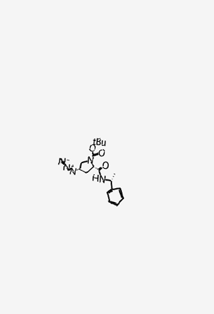 C[C@@H](NC(=O)[C@@H]1C[C@H](N=[N+]=[N-])CN1C(=O)OC(C)(C)C)c1ccccc1